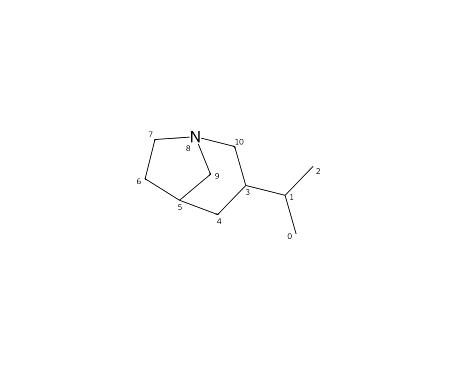 CC(C)C1CC2CCN(C2)C1